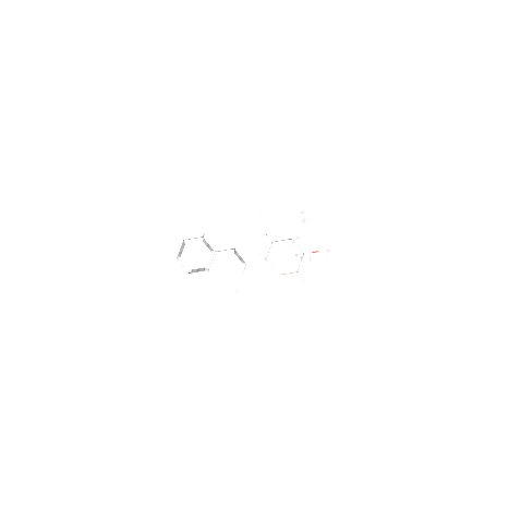 OC(=Cc1ccccc1)[C@H]1OC(O)[C@H](O)[C@@H](O)[C@@H]1O